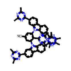 Cc1nc(C)nc(-c2ccc3c4ccc(-c5nc(C)nc(C)n5)cc4n(-c4cc(C#N)cc(-n5c6cc(-c7nc(C)nc(C)n7)ccc6c6ccc(-c7nc(C)nc(C)n7)cc65)c4-c4nc(C)nc(C)n4)c3c2)n1